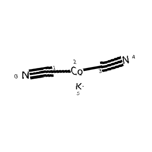 N#[C][Co][C]#N.[K]